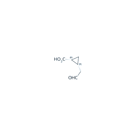 O=CC[C@H]1C[C@H]1C(=O)O